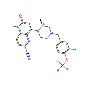 C[C@H]1CN(Cc2ccc(OC(F)(F)F)c(F)c2)CCN1c1cc(=O)n(C)c2ccc(C#N)nc12